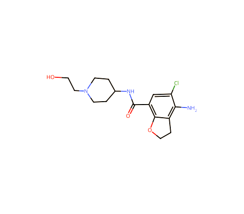 Nc1c(Cl)cc(C(=O)NC2CCN(CCO)CC2)c2c1CCO2